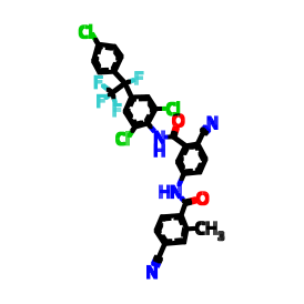 Cc1cc(C#N)ccc1C(=O)Nc1ccc(C#N)c(C(=O)Nc2c(Cl)cc(C(F)(c3ccc(Cl)cc3)C(F)(F)F)cc2Cl)c1